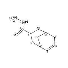 NNC(=O)C1CC2C=CCC(C2)C1